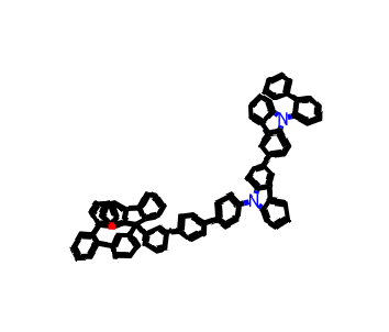 c1ccc(-c2ccccc2-c2cccc(C3(c4cccc(-c5ccc(-c6ccc(-n7c8ccccc8c8cc(-c9ccc%10c(c9)c9ccccc9n%10-c9ccccc9-c9ccccc9)ccc87)cc6)cc5)c4)c4ccccc4-c4ccccc43)c2)cc1